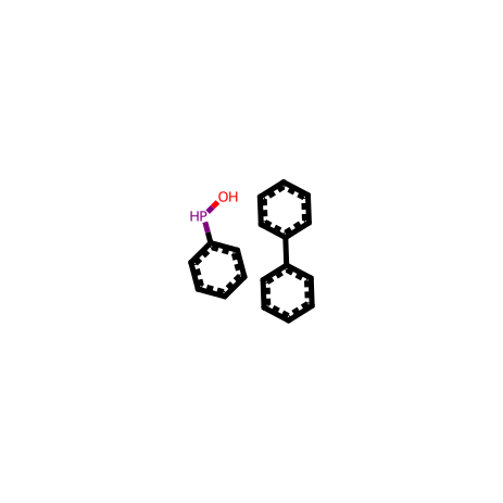 OPc1ccccc1.c1ccc(-c2ccccc2)cc1